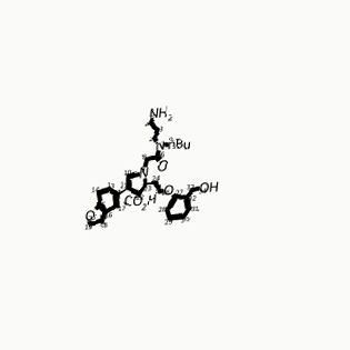 CCCCN(CCCN)C(=O)CN1C[C@H](c2ccc3c(c2)CCO3)[C@@H](C(=O)O)[C@@H]1CCOc1ccccc1CO